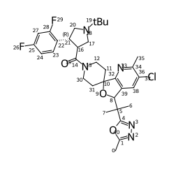 Cc1nnc(C(C)(C)C2OC3(CCN(C(=O)C4CN(C(C)(C)C)C[C@H]4c4ccc(F)cc4F)CC3)c3nc(C)c(Cl)cc32)o1